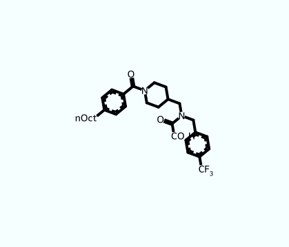 CCCCCCCCc1ccc(C(=O)N2CCC(CN(Cc3ccc(C(F)(F)F)cc3)C(=O)C(=O)O)CC2)cc1